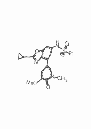 CCS(=O)(=O)Nc1cc(-c2cc(OC)c(=O)n(C)c2)c2nc(C3CC3)oc2c1